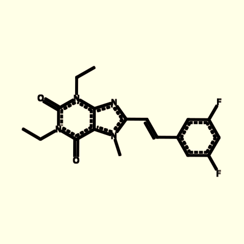 CCn1c(=O)c2c(nc(/C=C/c3cc(F)cc(F)c3)n2C)n(CC)c1=O